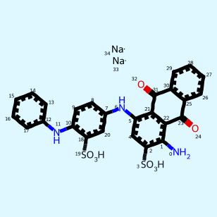 Nc1c(S(=O)(=O)O)cc(Nc2ccc(Nc3ccccc3)c(S(=O)(=O)O)c2)c2c1C(=O)c1ccccc1C2=O.[Na].[Na]